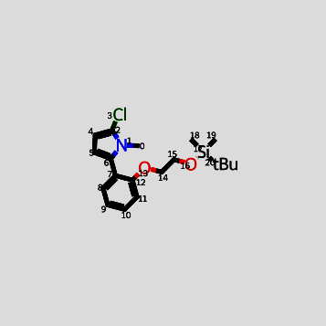 Cn1c(Cl)ccc1-c1ccccc1OCCO[Si](C)(C)C(C)(C)C